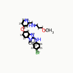 COCCCNCc1cc(Oc2ccc3c(c2)nc(Nc2ccc(Br)cc2)n3C)ccn1